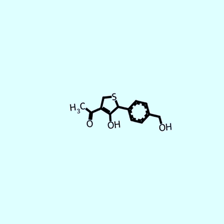 CC(=O)C1=C(O)C(c2ccc(CO)cc2)SC1